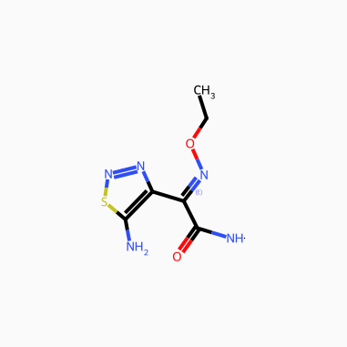 CCO/N=C(/C([NH])=O)c1nnsc1N